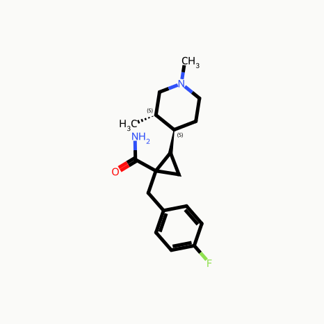 C[C@@H]1CN(C)CC[C@H]1C1CC1(Cc1ccc(F)cc1)C(N)=O